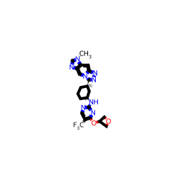 Cn1cnc2cn3c([C@H]4CCC[C@@H](Nc5ncc(C(F)(F)F)c(OC6COC6)n5)C4)nnc3cc21